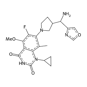 COc1c(F)c(N2CCC(C(N)c3cocn3)C2)c(C)c2c1c(=O)[nH]c(=O)n2C1CC1